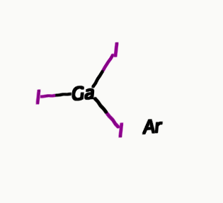 [Ar].[I][Ga]([I])[I]